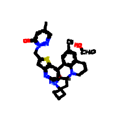 Cc1cnn(Cc2cc3nccc(-c4cc(C#N)cc5c4N([C@@H]4CNC6(CCC6)C4)CCC5)c3s2)c(=O)c1.O=CO